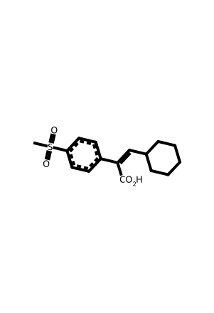 CS(=O)(=O)c1ccc(C(=CC2CCCCC2)C(=O)O)cc1